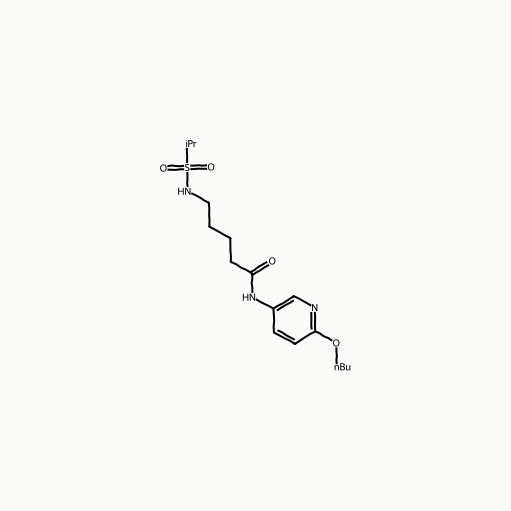 CCCCOc1ccc(NC(=O)CCCCNS(=O)(=O)C(C)C)cn1